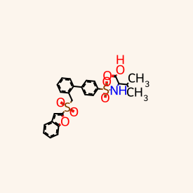 CC(C)C(NS(=O)(=O)c1ccc(-c2ccccc2CS(=O)(=O)c2cc3ccccc3o2)cc1)C(=O)O